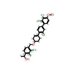 CCOc1ccc(-c2ccc(C3=CCC(OCc4ccc(C(C)O)c(F)c4F)CC3)c(F)c2)c(F)c1F